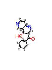 O=C(c1ccccc1)c1cnc2ccncc2c1O